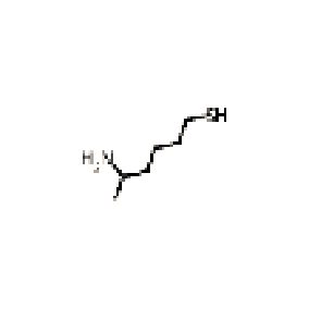 CC(N)CCCCS